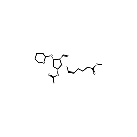 COC(=O)CCC/C=C\C[C@H]1[C@H](C=O)[C@@H](OC2CCCCO2)C[C@@H]1OC(C)=O